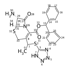 CC(Sc1nnn[nH]1)C1=C(C(=O)OC(c2ccccc2)c2ccccc2)N2C(=O)[C@@H](N)[C@@H]2SC1